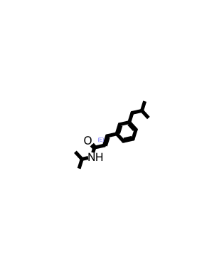 CC(C)Cc1cccc(/C=C/C(=O)NC(C)C)c1